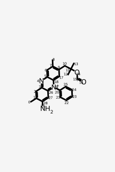 Cc1cc2nc3cc(C)c(CC(C)(C)O[C]=O)cc3[n+](-c3ccccc3)c2cc1N